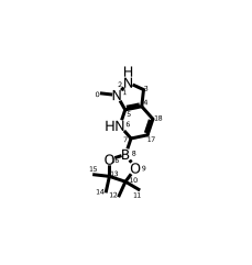 CN1NCC2=C1NC(B1OC(C)(C)C(C)(C)O1)C=C2